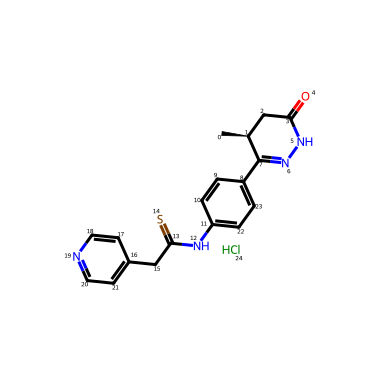 C[C@H]1CC(=O)NN=C1c1ccc(NC(=S)Cc2ccncc2)cc1.Cl